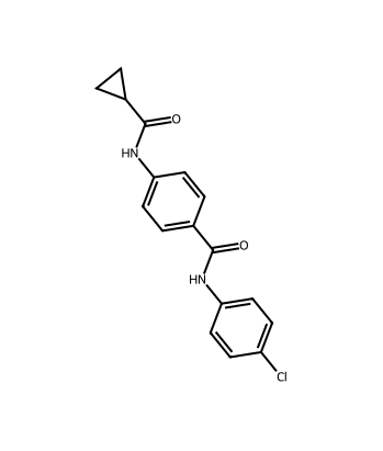 O=C(Nc1ccc(Cl)cc1)c1ccc(NC(=O)C2CC2)cc1